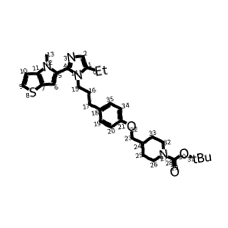 CCc1cnc(-c2cc3sccc3n2C)n1CCCc1ccc(OCC2CCN(C(=O)OC(C)(C)C)CC2)cc1